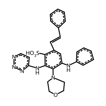 O=S(=O)(O)c1c(C=Cc2ccccc2)cc(Nc2ccccc2)c(N2CCOCC2)c1Nc1ccnnn1